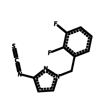 Fc1cccc(Cn2ccc(N=C=S)n2)c1F